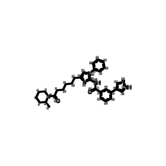 C[C@H]1CCCCN1C(=O)CCCCCc1cn(-c2ccccc2)c(NC(=O)c2cccc(-c3cn[nH]c3)c2)n1